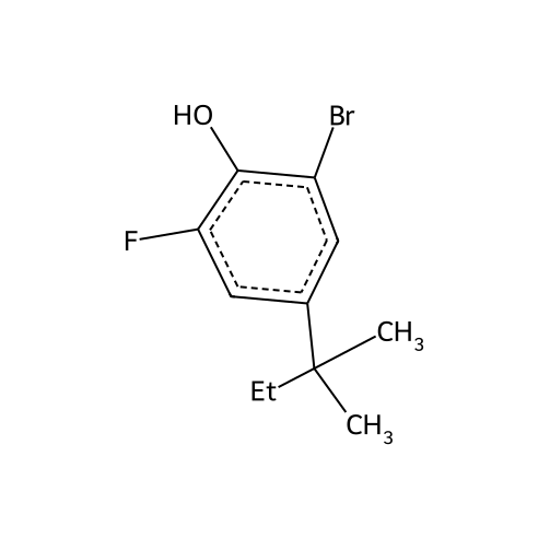 CCC(C)(C)c1cc(F)c(O)c(Br)c1